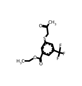 CCOC(=O)c1cc(SCC(C)=O)cc(C(F)(F)F)c1